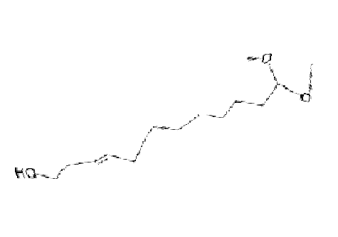 COC(CCCCCCCC=CCCO)OC